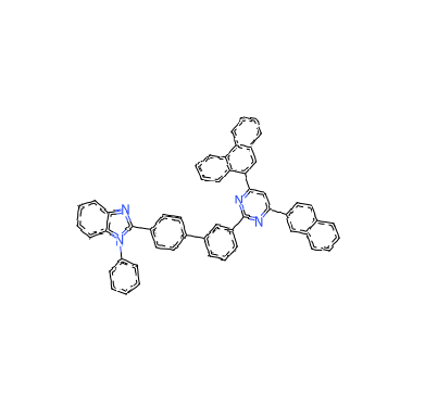 c1ccc(-n2c(-c3ccc(-c4cccc(-c5nc(-c6ccc7ccccc7c6)cc(-c6cc7ccccc7c7ccccc67)n5)c4)cc3)nc3ccccc32)cc1